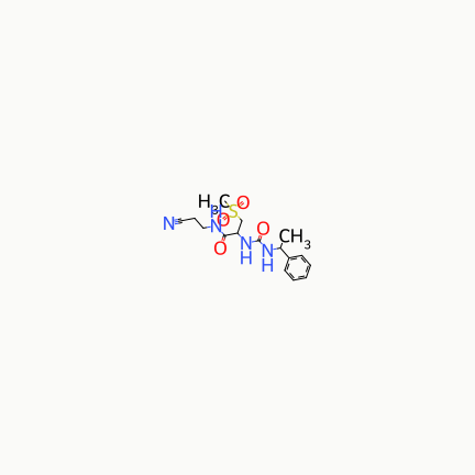 CC(NC(=O)NC(CS(C)(=O)=O)C(=O)NCCC#N)c1ccccc1